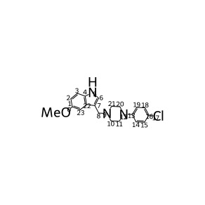 COc1ccc2[nH]cc(CN3CCN(c4ccc(Cl)cc4)CC3)c2c1